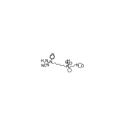 N#CN=C(N)N(CCCCCCCN([SH](=O)=O)C1(CCCN2CCOCC2)CCCC1)c1ccncc1